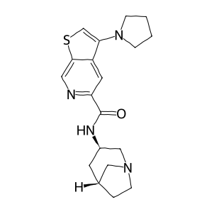 O=C(N[C@@H]1C[C@H]2CCN(C2)C1)c1cc2c(N3CCCC3)csc2cn1